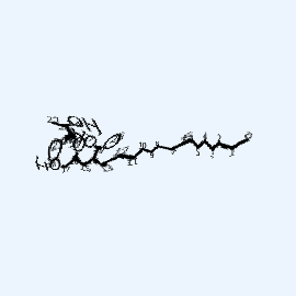 CCCCCCCCCCCCCCC(CC(CO)OC(=O)C(C)O)C(=O)O